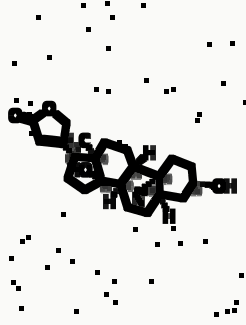 C[C@]12CC[C@H]3[C@@H](CC[C@@H]4C[C@@H](O)CC[C@@]43C#N)[C@@]1(O)CC[C@@H]2C1=CC(=O)OC1